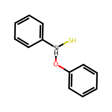 S[SiH](Oc1ccccc1)c1ccccc1